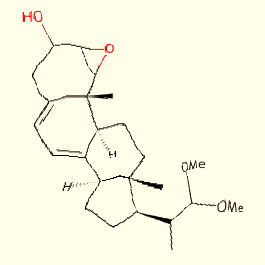 COC(OC)C(C)[C@H]1CC[C@H]2C3=CC=C4CC(O)C5OC5[C@]4(C)[C@H]3CC[C@]12C